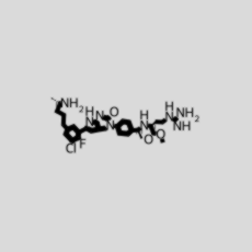 COC(=O)[C@H](CCNC(=N)N)N[C@@H](C)c1ccc(-n2cc3cc(-c4cc(CCC[C@H](C)N)cc(Cl)c4F)[nH]c3nc2=O)cc1